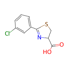 O=C(O)C1CSC(c2cccc(Cl)c2)=N1